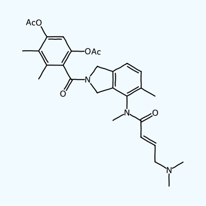 CC(=O)Oc1cc(OC(C)=O)c(C(=O)N2Cc3ccc(C)c(N(C)C(=O)/C=C/CN(C)C)c3C2)c(C)c1C